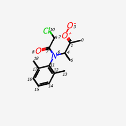 CC(=[O+][O-])C(C)N(C(=O)CCl)c1c(C)cccc1C